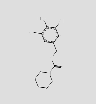 Oc1c(Cl)cc(CSC(=S)N2CCCCC2)cc1Cl